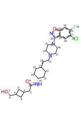 O=C(CC1CC(CO)C1)N[C@H]1CC[C@H](CCN2CCN(c3noc4cc(F)c(Cl)cc34)CC2)CC1